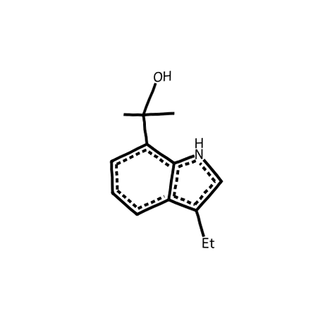 CCc1c[nH]c2c(C(C)(C)O)cccc12